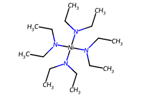 CC[N](CC)[Ni]([N](CC)CC)([N](CC)CC)[N](CC)CC